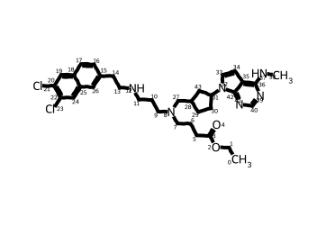 CCOC(=O)CCCN(CCCNCCc1ccc2cc(Cl)c(Cl)cc2c1)CC1CCC(n2ccc3c(NC)ncnc32)C1